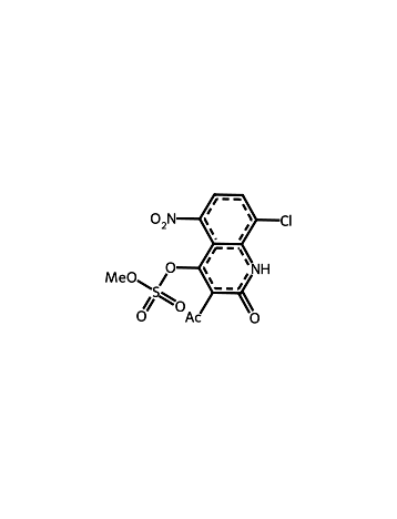 COS(=O)(=O)Oc1c(C(C)=O)c(=O)[nH]c2c(Cl)ccc([N+](=O)[O-])c12